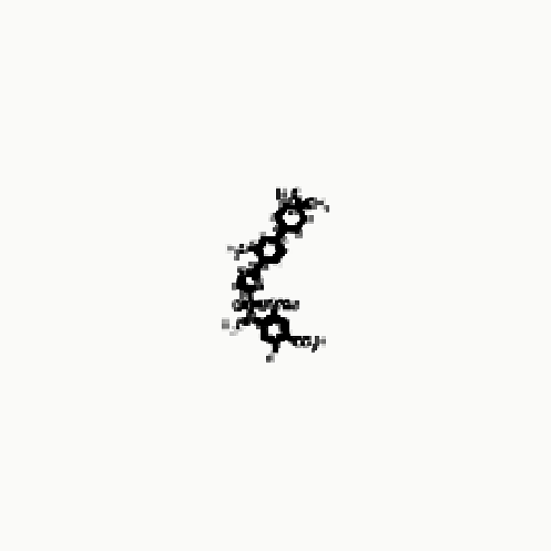 COc1cc(C(=O)O)c(F)cc1N(C)S(=O)(=O)c1csc(-c2ccc(C3CCC(C)(C)CC3)cc2C(F)(F)F)n1